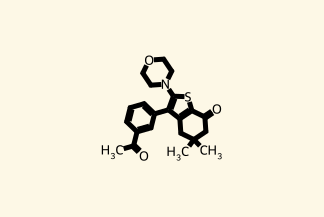 CC(=O)c1cccc(-c2c(N3CCOCC3)sc3c2CC(C)(C)CC3=O)c1